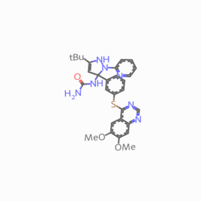 COc1cc2ncnc(Sc3cccc(C4(NC(N)=O)C=C(C(C)(C)C)NN4c4ccccn4)c3)c2cc1OC